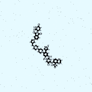 COc1cc(N2CCC(N3CCN(CC4CCN(c5ccc6c(c5)C(=O)N(C5CCC(=O)NC5=O)C6=O)C4)CC3)CC2)c(-c2cnn(C)c2)cc1Nc1ncc(Cl)c(Nc2ccc3nccnc3c2P(C)(C)=O)n1